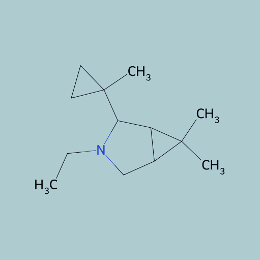 CCN1CC2C(C1C1(C)CC1)C2(C)C